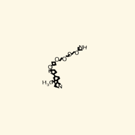 Cn1c2ccncc2c2ccc(-c3ccc(O[C@H]4C[C@H](OCCOCCOCCOC5CNC5)C4)nc3)cc21